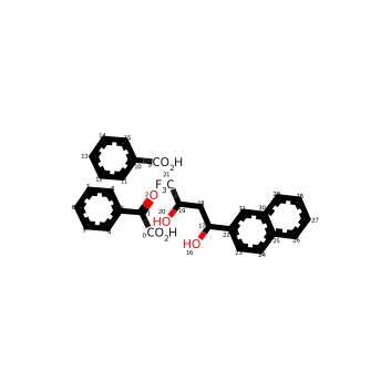 O=C(O)C(=O)c1ccccc1.O=C(O)c1ccccc1.OC(CC(O)C(F)(F)F)c1ccc2ccccc2c1